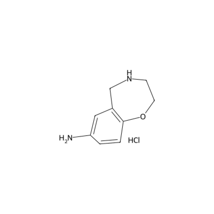 Cl.Nc1ccc2c(c1)CNCCO2